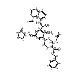 C=Cc1cccc2cccc(NC(O)c3nc(OC[C@@H]4CCCN4C)nc(N4CCN(C(=O)OCc5ccccc5)[C@@H](CC#N)C4)c3N)c12